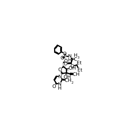 C#C[C@@]1(O)[C@H](O)[C@@H](COP(=O)(N[C@@H](C)C(=O)OC(CC)CC)Oc2ccccc2)O[C@H]1N1C=CC(=O)NC1=C